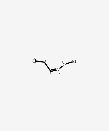 CCO/N=C\CCl